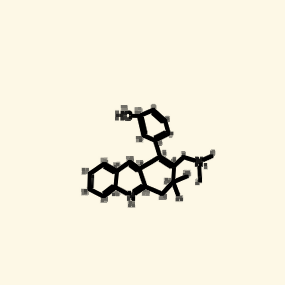 CN(C)CC1=C(c2cccc(O)c2)c2cc3ccccc3nc2CC1(C)C